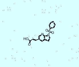 O=C(O)C=Cc1cnc2c(ccn2S(=O)(=O)c2ccccc2)c1